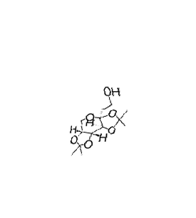 CC1(C)O[C@@H]2[C@@H](CO[C@@]3(CCO)OC(C)(C)O[C@@H]23)O1